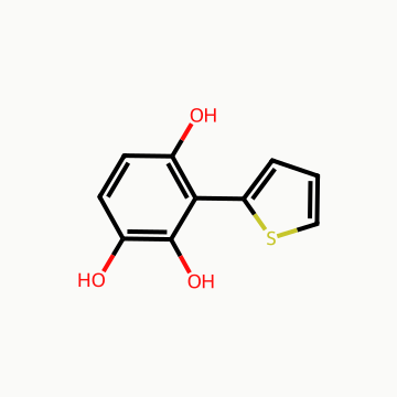 Oc1ccc(O)c(-c2cccs2)c1O